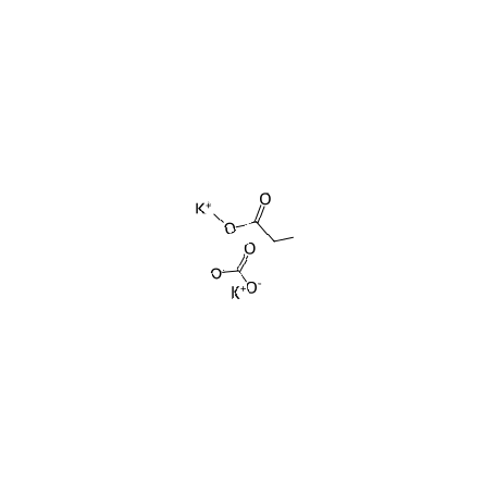 CCC(=O)OC.O=C([O-])[O-].[K+].[K+]